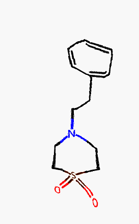 O=S1(=O)CCN(CCc2ccccc2)CC1